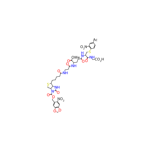 COC(=O)C(CCC(=O)NC(CSc1ccc(C(C)=O)cc1[N+](=O)[O-])C(=O)NCC(=O)O)NC(=O)CCNC(=O)CCCCC1SCC2C1NC(=O)N2C(=O)OCc1cc2c(cc1[N+](=O)[O-])OCO2